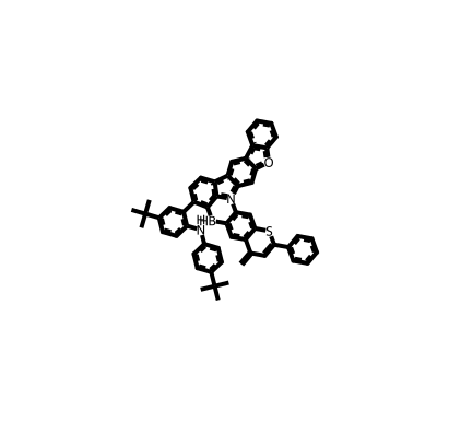 C=C1C=C(c2ccccc2)Sc2cc3c(cc21)Bc1c(-c2cc(C(C)(C)C)ccc2Nc2ccc(C(C)(C)C)cc2)ccc2c4cc5c(cc4n-3c12)oc1ccccc15